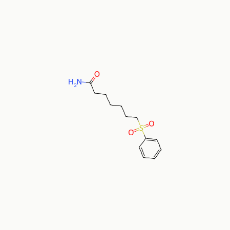 NC(=O)CCCCCCS(=O)(=O)c1ccccc1